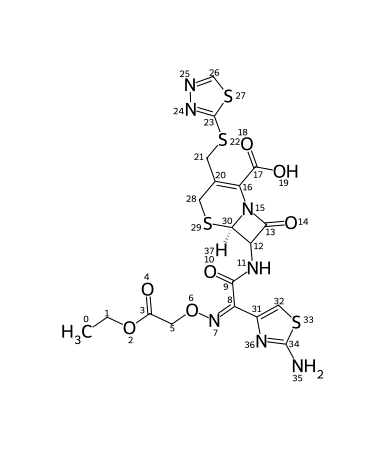 CCOC(=O)CO/N=C(\C(=O)NC1C(=O)N2C(C(=O)O)=C(CSc3nncs3)CS[C@H]12)c1csc(N)n1